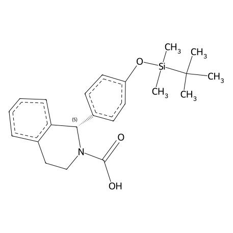 CC(C)(C)[Si](C)(C)Oc1ccc([C@H]2c3ccccc3CCN2C(=O)O)cc1